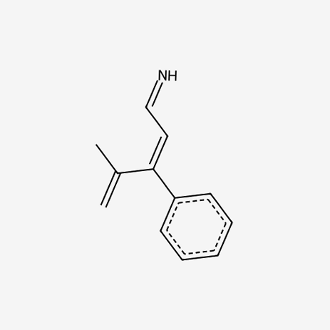 C=C(C)/C(=C\C=N)c1ccccc1